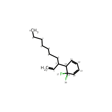 C=CC(CCCCCCC)C1C=CC=CC1(F)F